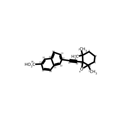 CC1(C)CCCC2(C)OC12C#Cc1ccc2cc(C(=O)O)ccc2c1